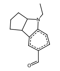 CCN1c2ccc(C=O)cc2C2CCCC21